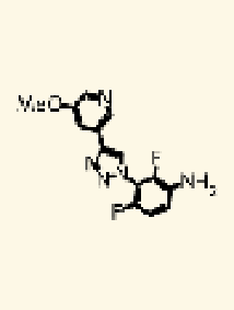 COc1cncc(-c2cn(-c3c(F)ccc(N)c3F)nn2)c1